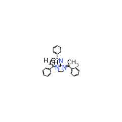 CC(N=C1N([C@@H](C)c2ccccc2)CCN1[C@@H](C)c1ccccc1)c1ccccc1